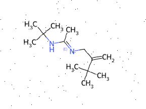 C=C(C/N=C(\C)NC(C)(C)C)C(C)(C)C